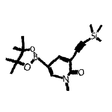 Cn1cc(B2OC(C)(C)C(C)(C)O2)cc(C#C[Si](C)(C)C)c1=O